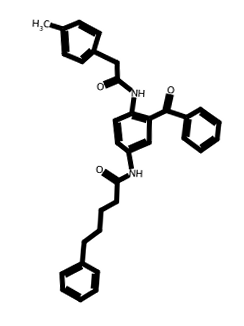 Cc1ccc(CC(=O)Nc2ccc(NC(=O)CCCCc3ccccc3)cc2C(=O)c2ccccc2)cc1